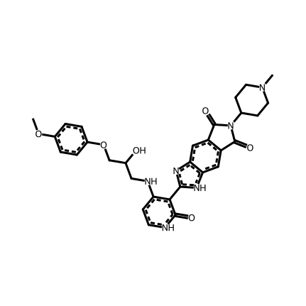 COc1ccc(OCC(O)CNc2cc[nH]c(=O)c2-c2nc3cc4c(cc3[nH]2)C(=O)N(C2CCN(C)CC2)C4=O)cc1